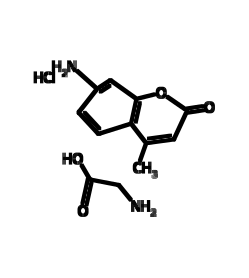 Cc1cc(=O)oc2cc(N)ccc12.Cl.NCC(=O)O